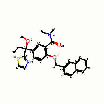 CCC(OC)(c1ccc(OCc2ccc3ccccc3c2)c(C(=O)N(C)C)c1)c1nccs1